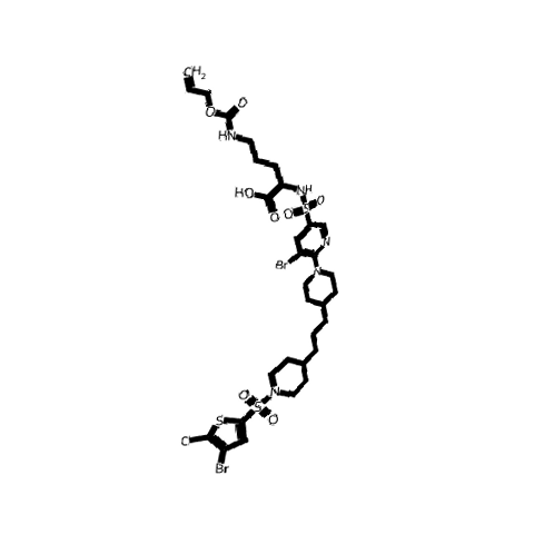 C=CCOC(=O)NCCCC(NS(=O)(=O)c1cnc(N2CCC(CCCC3CCN(S(=O)(=O)c4cc(Br)c(Cl)s4)CC3)CC2)c(Br)c1)C(=O)O